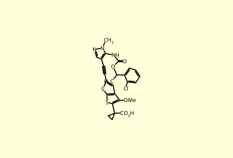 COc1c(C2(C(=O)O)CC2)sc2sc(C#Cc3cnn(C)c3NC(=O)OC(C)c3ccccc3Cl)cc12